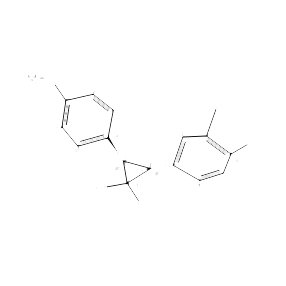 COc1ccc([C@H]2[C@H](c3ccc(Cl)c(Br)c3)C2(Cl)Cl)cc1